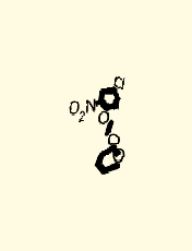 O=[N+]([O-])c1cc(Cl)ccc1OCCOC1CCCCO1